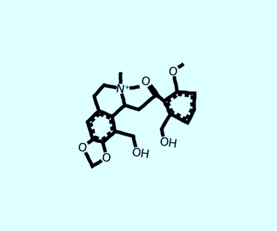 COc1cccc(CO)c1C(=O)CC1c2c(cc3c(c2CO)OCO3)CC[N+]1(C)C